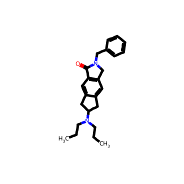 CCCN(CCC)C1Cc2cc3c(cc2C1)C(=O)N(Cc1ccccc1)C3